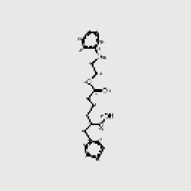 O=C(CCCC(Cc1ccccc1)OO)OCCOc1ccccc1